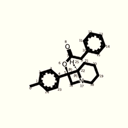 Cc1ccc([C@@]2(OC(=O)Cc3ccccc3)CN3CCCC[C@@H]32)cc1